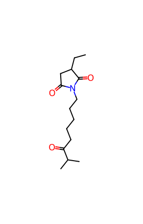 CCC1CC(=O)N(CCCCCC(=O)C(C)C)C1=O